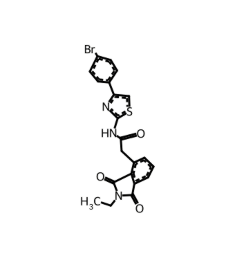 CCN1C(=O)c2cccc(CC(=O)Nc3nc(-c4ccc(Br)cc4)cs3)c2C1=O